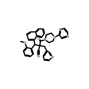 COc1ccccc1C(c1cccc2ccccc12)C(C#N)(Cc1cccnc1)C(=O)N1CCN(c2cnccn2)CC1